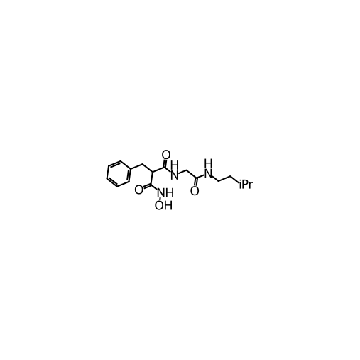 CC(C)CCNC(=O)CNC(=O)C(Cc1ccccc1)C(=O)NO